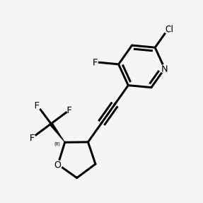 Fc1cc(Cl)ncc1C#CC1CCO[C@H]1C(F)(F)F